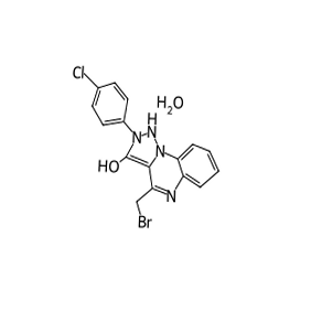 O.OC1=C2C(CBr)=Nc3ccccc3N2NN1c1ccc(Cl)cc1